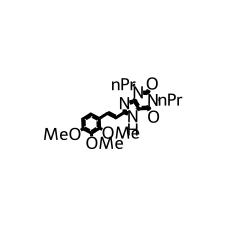 CCCn1c(=O)c2[nH]c(C=Cc3ccc(OC)c(OC)c3OC)nc2n(CCC)c1=O